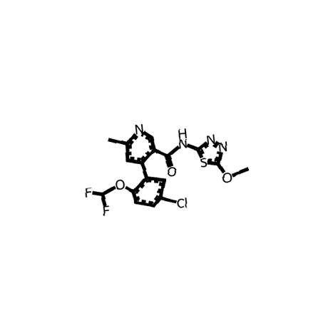 COc1nnc(NC(=O)c2cnc(C)cc2-c2cc(Cl)ccc2OC(F)F)s1